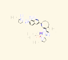 C=C1CCCC/C(c2ccc3c(N)c(/N=C/[C@@H]4CC[C@H](C)N4)ccc3c2)=C\C=C/1c1cnc([C@@H]2CC[C@H](C)N2C(=O)OC(C)(C)C)[nH]1